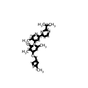 Cc1cc(COc2cc(C)n(-c3cc(-c4ccnc(C(C)C)n4)ncc3C)c(=O)c2C)cs1